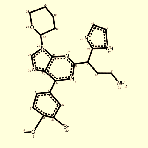 COc1ccc(-c2nc(C(CCN)c3ncc[nH]3)nc3c2ncn3C2CCCCO2)cc1Br